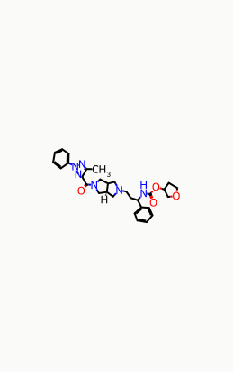 Cc1nn(-c2ccccc2)nc1C(=O)N1CC2CN(CCC(NC(=O)OC3CCOC3)c3ccccc3)C[C@H]2C1